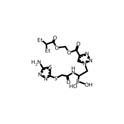 CCC(CC)C(=O)OCOC(=O)c1cn(CC(NC(=O)CSc2nnc(N)s2)B(O)O)nn1